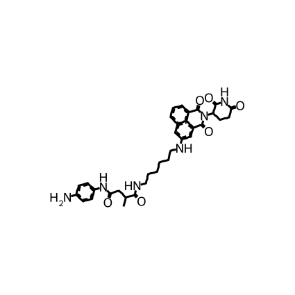 CC(CC(=O)Nc1ccc(N)cc1)C(=O)NCCCCCCNc1cc2c3c(cccc3c1)C(=O)N(C1CCC(=O)NC1=O)C2=O